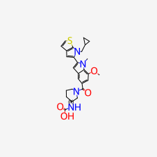 COc1cc(C(=O)N2CCC[C@@H](NC(=O)O)C2)cc2cc(-c3cc4ccsc4n3CC3CC3)n(C)c12